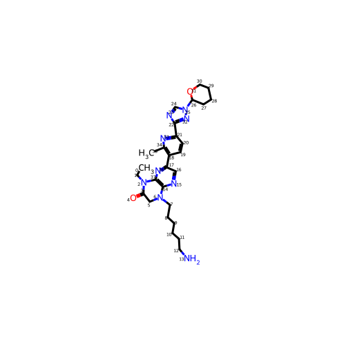 CCN1C(=O)CN(CCCCCCN)c2ncc(-c3ccc(-c4ncn(C5CCCCO5)n4)nc3C)nc21